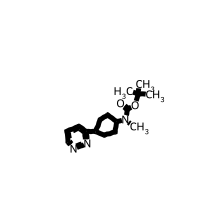 CN(C(=O)OC(C)(C)C)C1CCC(c2cccnn2)CC1